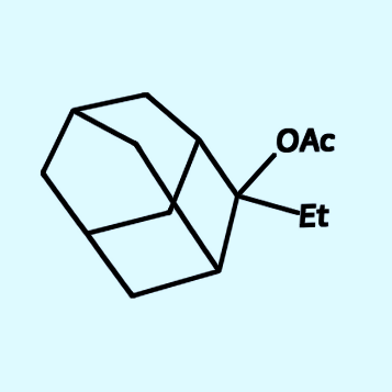 CCC1(OC(C)=O)C2CC3CC(C2)CC1C3